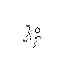 CCCCOC(=O)c1ccccc1.CCOCC.OCCOCCO